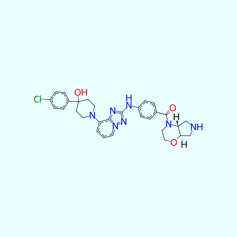 O=C(c1ccc(Nc2nc3c(N4CCC(O)(c5ccc(Cl)cc5)CC4)cccn3n2)cc1)N1CCO[C@@H]2CNC[C@H]21